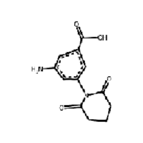 Nc1cc(C(=O)O)cc(N2C(=O)CCCC2=O)c1